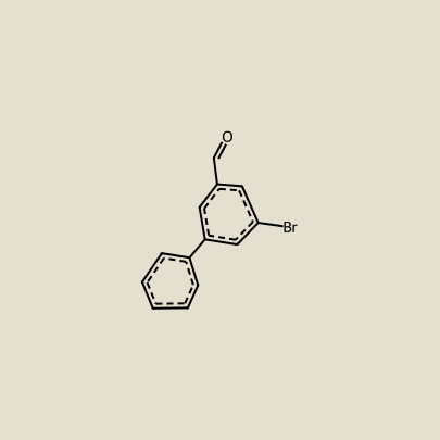 O=Cc1cc(Br)cc(-c2ccccc2)c1